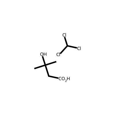 CC(C)(O)CC(=O)O.ClC(Cl)Cl